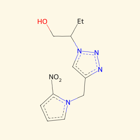 CCC(CO)n1cc(Cn2cccc2[N+](=O)[O-])nn1